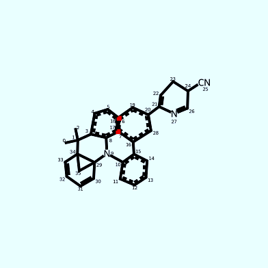 CC1(C)c2ccccc2N(c2ccccc2-c2cccc(C3=CCC(C#N)C=N3)c2)C23C=CC=CC12C3